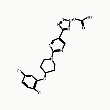 CCCC(=O)On1nnc(-c2cnc(N3CCC(Oc4cc(Br)ccc4Cl)CC3)nc2)n1